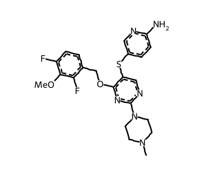 COc1c(F)ccc(COc2nc(N3CCN(C)CC3)ncc2Sc2ccc(N)nc2)c1F